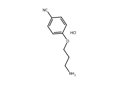 Cl.N#Cc1ccc(OCCCN)cc1